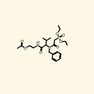 CCOP(=O)(CC(=O)N(Cc1ccccc1)C(C(=O)NCCOC(C)=O)C(C)C)OCC